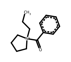 CCC[N+]1(C(=O)c2ccccc2)CCCC1